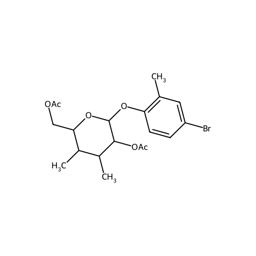 CC(=O)OCC1OC(Oc2ccc(Br)cc2C)C(OC(C)=O)C(C)C1C